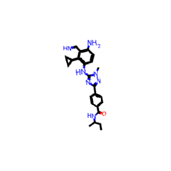 CCC(C)NC(=O)c1ccc(-c2nc(Nc3ccc(N)c(C=N)c3C3CC3)n(C)n2)cc1